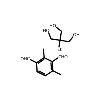 CCC(CO)(CO)CO.Cc1ccc(C=O)c(C)c1C=O